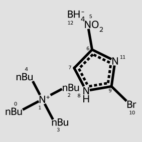 CCCC[N+](CCCC)(CCCC)CCCC.O=[N+]([O-])c1c[nH]c(Br)n1.[BH4-]